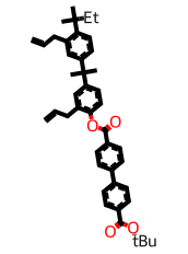 C=CCc1cc(C(C)(C)c2ccc(C(C)(C)CC)c(CC=C)c2)ccc1OC(=O)c1ccc(-c2ccc(C(=O)OC(C)(C)C)cc2)cc1